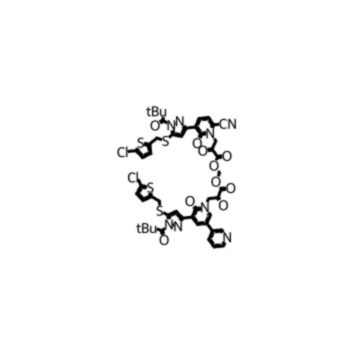 CC(C)(C)C(=O)n1nc(-c2cc(-c3cccnc3)cn(CC(=O)C(=O)OCOC(=O)C(=O)Cn3c(C#N)ccc(-c4cc(SCc5ccc(Cl)s5)n(C(=O)C(C)(C)C)n4)c3=O)c2=O)cc1SCc1ccc(Cl)s1